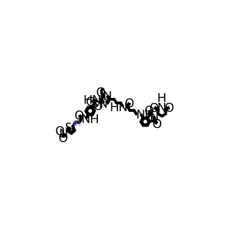 COc1nc(CCCNC(=O)CCCNc2cccc3c2C(=O)N(C2CCC(=O)NC2=O)C3=O)cnc1NS(=O)(=O)c1ccc(NC(=O)/C=C/c2ccc([N+](=O)[O-])s2)cc1